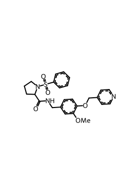 COc1cc(CNC(=O)C2CCCN2S(=O)(=O)c2ccccc2)ccc1OCc1ccncc1